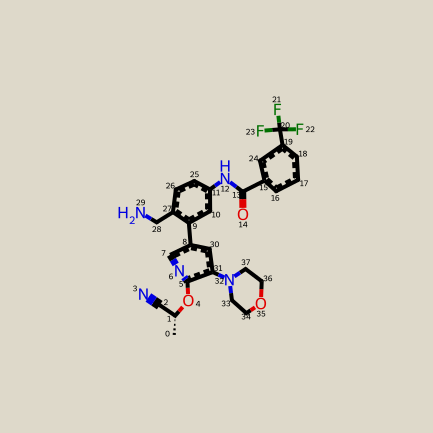 C[C@H](C#N)Oc1ncc(-c2cc(NC(=O)c3cccc(C(F)(F)F)c3)ccc2CN)cc1N1CCOCC1